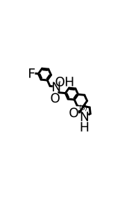 O=C(c1ccc2c(c1)C[C@]1(CCNC1=O)CC2)N(O)Cc1cccc(F)c1